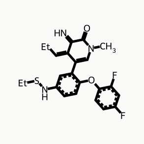 CC/C=C1\C(=N)C(=O)N(C)C=C1c1cc(NSCC)ccc1Oc1ccc(F)cc1F